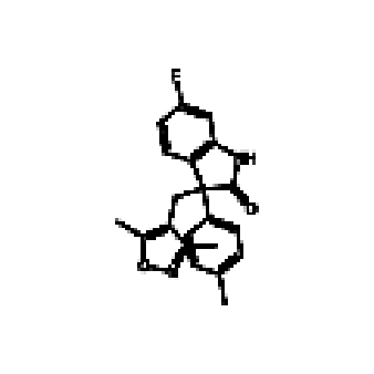 Cc1ccc(C2(Cc3c(C)noc3C)C(=O)Nc3cc(F)ccc32)cc1